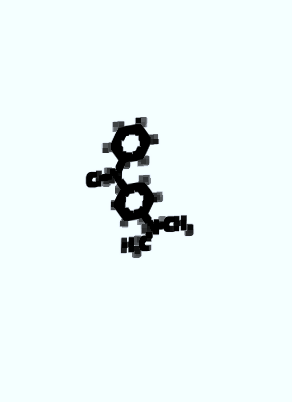 CN(C)c1ccc(N(Cl)c2ccccc2)cc1